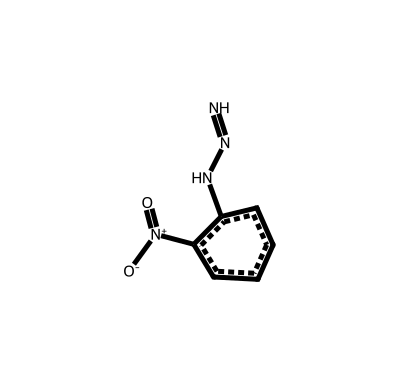 N=NNc1ccccc1[N+](=O)[O-]